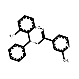 Cc1cc(/C(C[C@H](c2ccccc2)c2ccccc2C)=N/O)ccn1